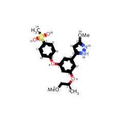 COC[C@H](C)Oc1cc(Oc2ccc(S(C)(=O)=O)cc2)cc(-c2cc(OC)n[nH]2)c1